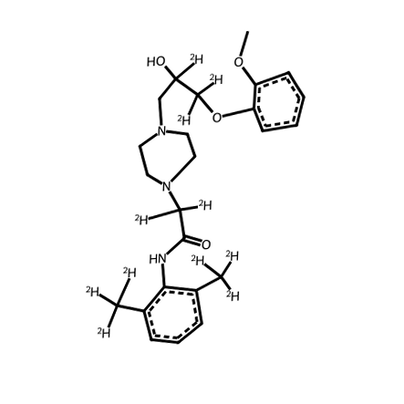 [2H]C([2H])([2H])c1cccc(C([2H])([2H])[2H])c1NC(=O)C([2H])([2H])N1CCN(CC([2H])(O)C([2H])([2H])Oc2ccccc2OC)CC1